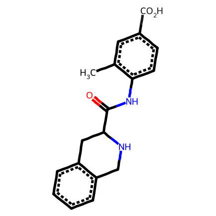 Cc1cc(C(=O)O)ccc1NC(=O)C1Cc2ccccc2CN1